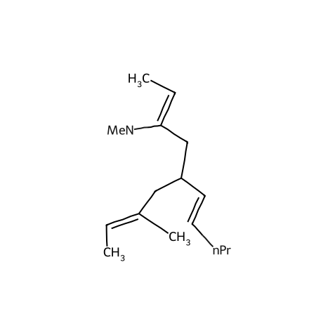 C/C=C(/CC(/C=C/CCC)C/C(C)=C/C)NC